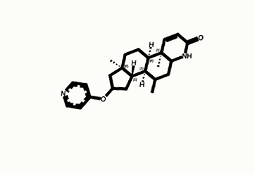 CC1CC2NC(=O)C=C[C@]2(C)[C@@H]2CC[C@]3(C)CC(Oc4ccncc4)C[C@H]3[C@H]12